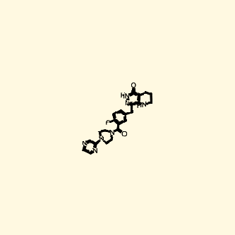 O=C(c1cc(Cc2n[nH]c(=O)c3c2NCCC3)ccc1F)N1CCN(c2cnccn2)CC1